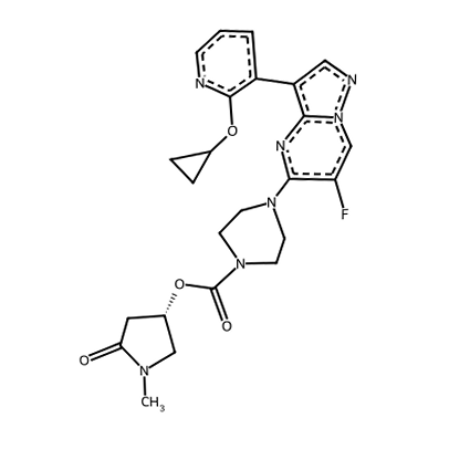 CN1C[C@@H](OC(=O)N2CCN(c3nc4c(-c5cccnc5OC5CC5)cnn4cc3F)CC2)CC1=O